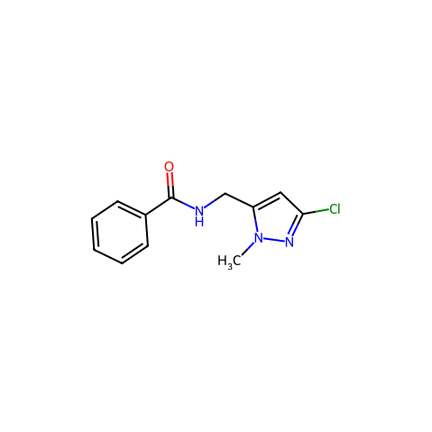 Cn1nc(Cl)cc1CNC(=O)c1ccccc1